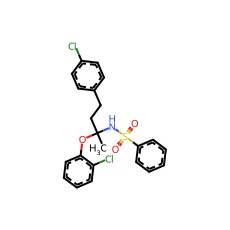 CC(CCc1ccc(Cl)cc1)(NS(=O)(=O)c1ccccc1)Oc1ccccc1Cl